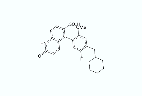 COc1cc(CC2CCCCC2)c(F)cc1-c1c(S(=O)(=O)O)ccc2[nH]c(=O)ccc12